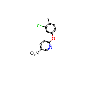 Cc1ccc(Oc2ccc([N+](=O)[O-])cn2)cc1Cl